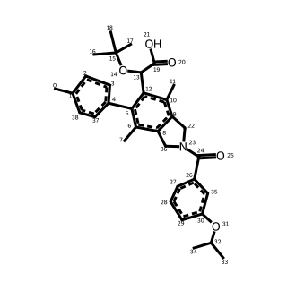 Cc1ccc(-c2c(C)c3c(c(C)c2C(OC(C)(C)C)C(=O)O)CN(C(=O)c2cccc(OC(C)C)c2)C3)cc1